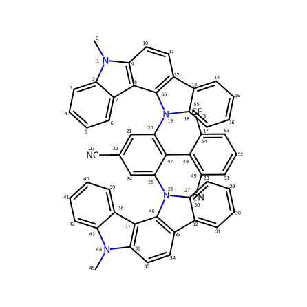 Cn1c2ccccc2c2c1ccc1c3ccccc3n(-c3cc(C#N)cc(-n4c5ccccc5c5ccc6c(c7ccccc7n6C)c54)c3-c3c(C#N)cccc3C(F)(F)F)c12